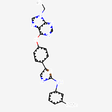 COc1cccc(Nc2ncc(-c3ccc(Oc4ncnc5c4ncn5CC(C)C)cc3)s2)c1